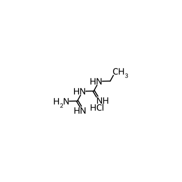 CCNC(=N)NC(=N)N.Cl